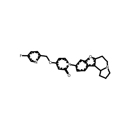 O=c1cc(OCc2ccc(F)cn2)ccn1-c1ccc2c3c(oc2c1)CCN1CCCC31